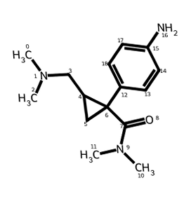 CN(C)CC1CC1(C(=O)N(C)C)c1ccc(N)cc1